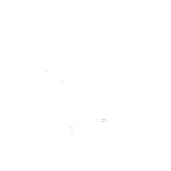 O=S(=O)(CCN1CC2COCC2C1)Nc1cccnc1